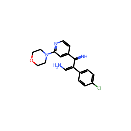 N=C(/C(=C\N)c1ccc(Cl)cc1)c1ccnc(N2CCOCC2)c1